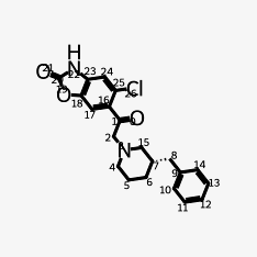 O=C(CN1CCC[C@@H](Cc2ccccc2)C1)c1cc2oc(=O)[nH]c2cc1Cl